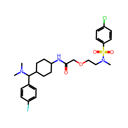 CN(C)C(c1ccc(F)cc1)C1CCC(NC(=O)COCCN(C)S(=O)(=O)c2ccc(Cl)cc2)CC1